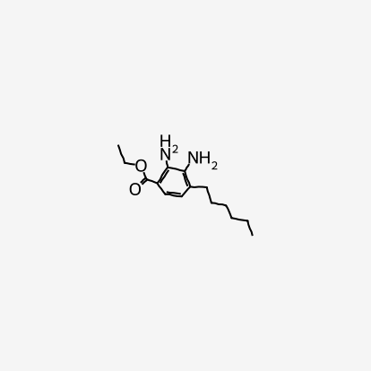 CCCCCCc1ccc(C(=O)OCC)c(N)c1N